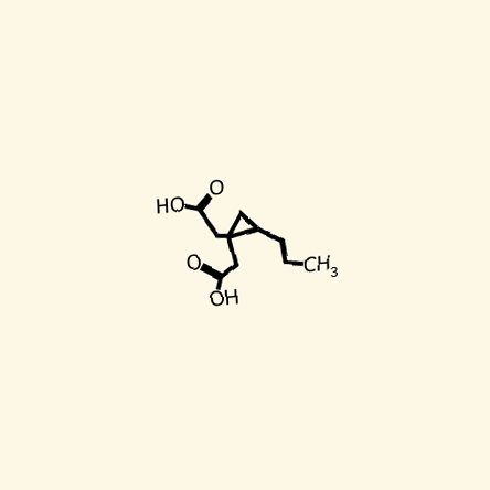 CCCC1CC1(CC(=O)O)CC(=O)O